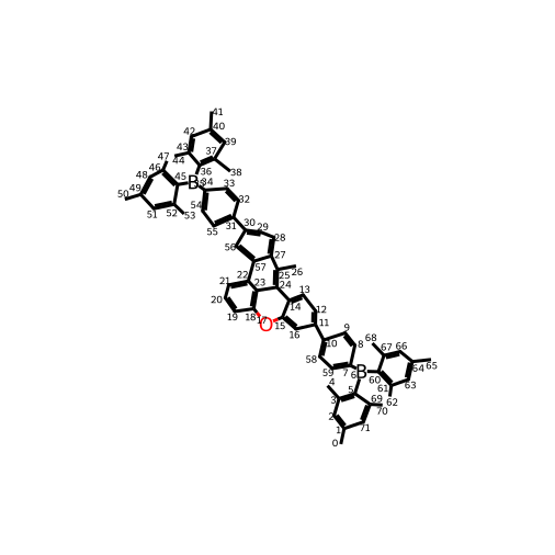 Cc1cc(C)c(B(c2ccc(-c3ccc4c(c3)Oc3cccc5c3c-4c(C)c3ccc(-c4ccc(B(c6c(C)cc(C)cc6C)c6c(C)cc(C)cc6C)cc4)cc35)cc2)c2c(C)cc(C)cc2C)c(C)c1